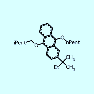 CCCCCOc1c2ccccc2c(OCC(C)CCC)c2ccc(C(C)(C)CC)cc12